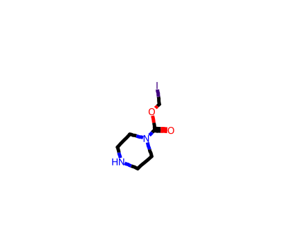 O=C(OCI)N1CCNCC1